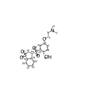 CN(C)CCOc1cccc(S(=O)(=O)C2CS(=O)(=O)c3ccccc32)c1.Cl